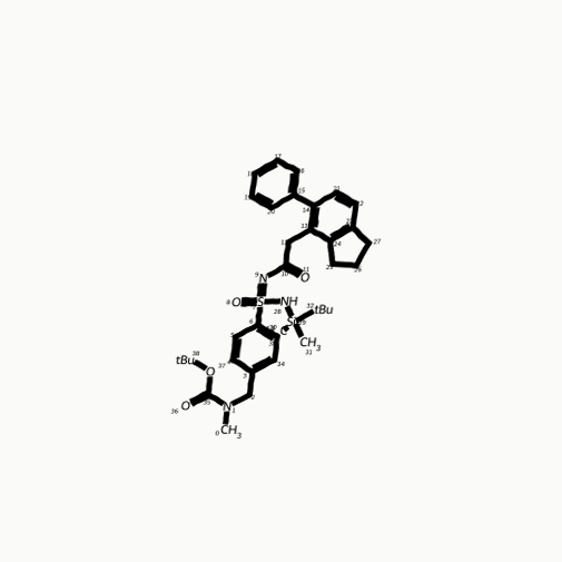 CN(Cc1ccc(S(=O)(=NC(=O)Cc2c(-c3ccccc3)ccc3c2CCC3)N[Si](C)(C)C(C)(C)C)cc1)C(=O)OC(C)(C)C